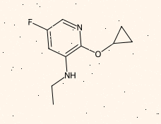 CCNc1cc(F)cnc1OC1CC1